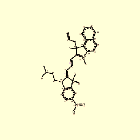 C=CCC1(C)C(/C=C/C=C2/N(CCC(C)C)c3ccc([N+](=O)[O-])cc3C2(C)C)=[N+](C)c2ccc3ccccc3c21